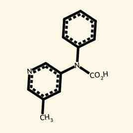 Cc1cncc(N(C(=O)O)c2ccccc2)c1